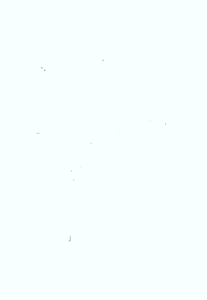 CCOC(=O)C1=C(c2cccc([N+](=O)[O-])c2)C(C(=O)OC)=C(C)N(C)C1[S+]([O-])CCN